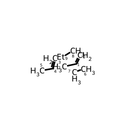 C=CC.C=CC.CC.CCC